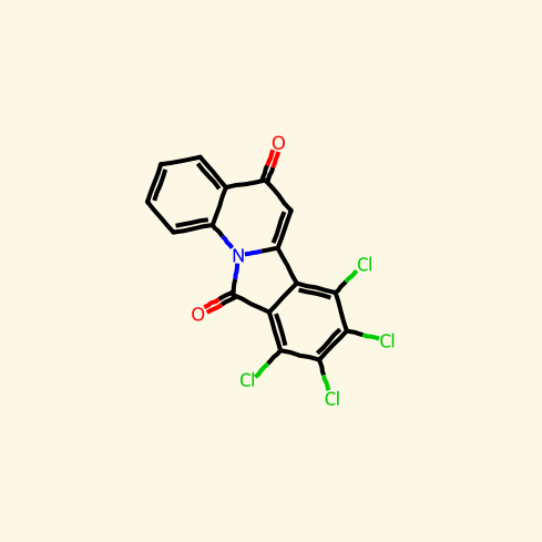 O=C1c2c(Cl)c(Cl)c(Cl)c(Cl)c2-c2cc(=O)c3ccccc3n21